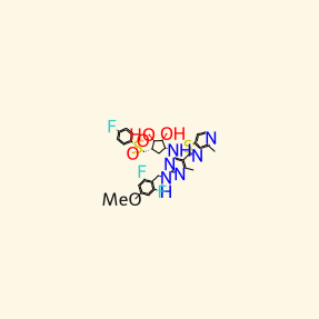 COc1cc(F)c(CNc2nc(C)c(-c3nc4c(C)nccc4s3)c(N[C@@H]3C[C@H](CS(=O)(=O)c4ccc(F)cc4)[C@@H](O)[C@H]3O)n2)c(F)c1